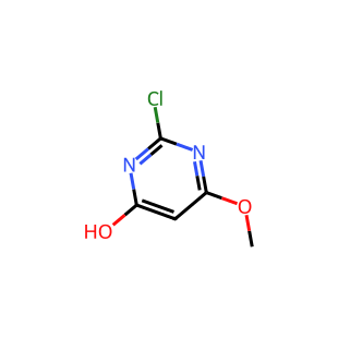 COc1cc(O)nc(Cl)n1